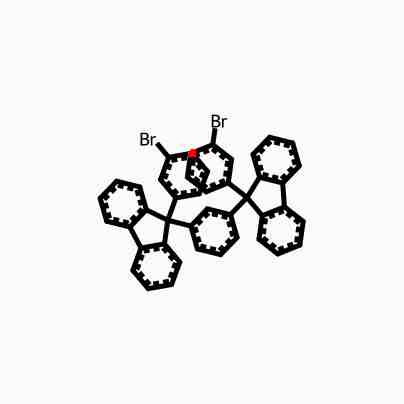 Brc1cccc(C2(c3cccc(C4(c5cccc(Br)c5)c5ccccc5-c5ccccc54)c3)c3ccccc3-c3ccccc32)c1